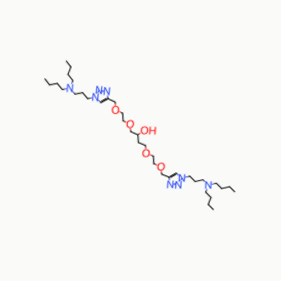 CCCCN(CCCC)CCCn1cc(COCCOCCC(O)COCCOCc2cn(CCCN(CCCC)CCCC)nn2)nn1